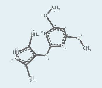 COc1cc(OC)nc(Sc2c(C)n[nH]c2N)n1